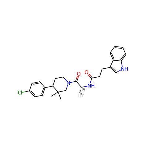 CC(C)[C@@H](NC(=O)CCc1c[nH]c2ccccc12)C(=O)N1CCC(c2ccc(Cl)cc2)C(C)(C)C1